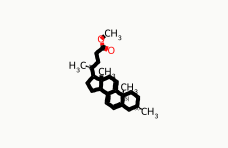 COC(=O)CC[C@@H](C)C1CCC2C3=CC=C4C[C@@H](C)CC[C@]4(C)C3=CCC21C